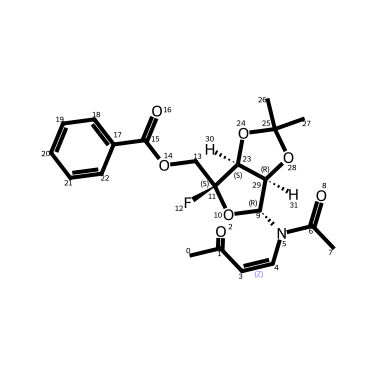 CC(=O)/C=C\N(C(C)=O)[C@@H]1O[C@](F)(COC(=O)c2ccccc2)[C@H]2OC(C)(C)O[C@@H]12